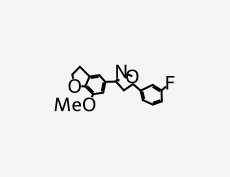 COc1cc(C2=NOC(c3cccc(F)c3)C2)cc2c1OCC2